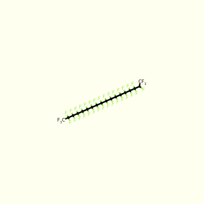 F[C](C(F)(F)F)C(F)(F)C(F)(F)C(F)(F)C(F)(F)C(F)(F)C(F)(F)C(F)(F)C(F)(F)C(F)(F)C(F)(F)C(F)(F)C(F)(F)C(F)(F)C(F)(F)C(F)(F)C(F)(F)F